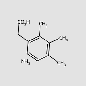 Cc1ccc(CC(=O)O)c(C)c1C.N